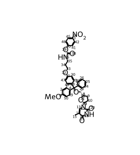 COc1ccc(C(OC[C@@H]2CC[C@H](n3cc(C)c(=O)[nH]c3=O)O2)(c2ccccc2)c2ccc(OCCCNC(=O)Oc3ccc([N+](=O)[O-])cc3)cc2)cc1